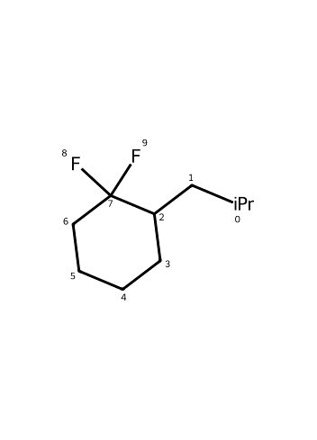 CC(C)CC1CCCCC1(F)F